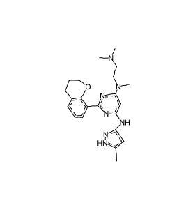 Cc1cc(Nc2cc(N(C)CCN(C)C)nc(-c3cccc4c3OCCC4)n2)n[nH]1